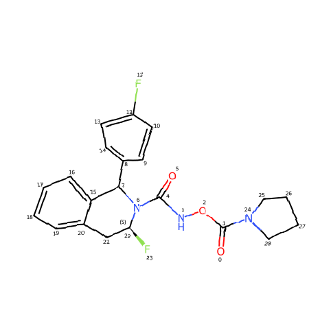 O=C(ONC(=O)N1C(c2ccc(F)cc2)c2ccccc2C[C@@H]1F)N1CCCC1